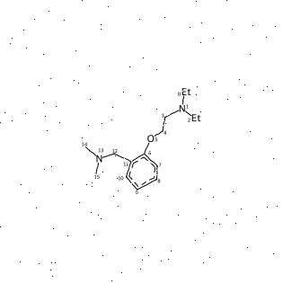 CCN(CC)CCOc1ccccc1CN(C)C